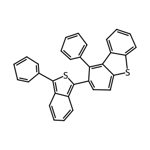 c1ccc(-c2sc(-c3ccc4sc5ccccc5c4c3-c3ccccc3)c3ccccc23)cc1